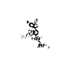 CC(C)Cc1cc(-c2c[nH]c3cc(F)ccc23)ccc1[S+]([O-])NCCC(N)=O